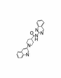 O=C(Nc1ncc2ccccc2n1)C1CCN(c2cnc3ccccc3c2)CC1